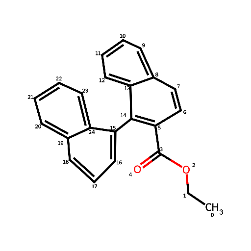 CCOC(=O)c1ccc2ccccc2c1-c1cccc2ccccc12